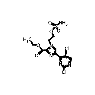 CCOC(=O)c1nc(-c2nc(Cl)ncc2Cl)cn1CCOS(N)(=O)=O